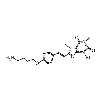 CCn1c(=O)c2c(nc(/C=C/c3ccc(OCCCCN)cc3)n2C)n(CC)c1=O